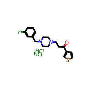 Cl.Cl.O=C(CCN1CCN(Cc2cccc(F)c2)CC1)c1ccsc1